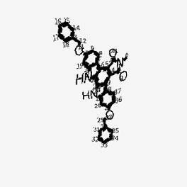 CN1C(=O)c2c(c3c4ccc(OCc5ccccc5)cc4[nH]c3c3[nH]c4cc(OCc5ccccc5)ccc4c23)C1=O